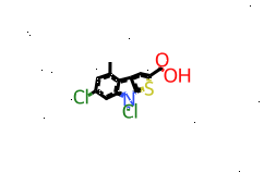 Cc1cc(Cl)cc2c1c1cc(C(=O)O)sc1n2Cl